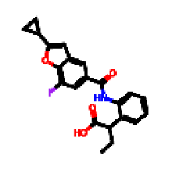 CCC(C(=O)O)c1ccccc1NC(=O)c1cc(I)c2oc(C3CC3)cc2c1